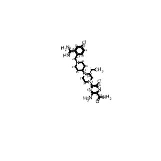 CC[C@H]1CN(c2nc(N)c(C(N)=O)nc2Cl)CCN1C1CCN(Cc2ccc(Cl)cc2C(=N)N)CC1